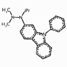 CC(C)N(c1ccc2c3ccccc3n(-c3ccccc3)c2c1)N(C)C